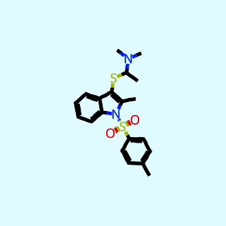 Cc1ccc(S(=O)(=O)n2c(C)c(SC(C)N(C)C)c3ccccc32)cc1